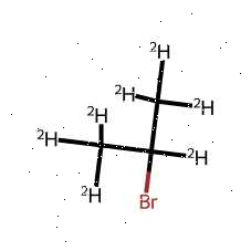 [2H]C([2H])([2H])C([2H])(Br)C([2H])([2H])[2H]